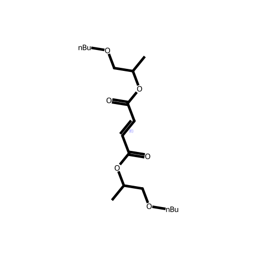 CCCCOCC(C)OC(=O)/C=C/C(=O)OC(C)COCCCC